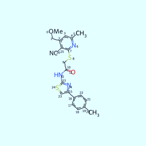 COCc1cc(C)nc(SCC(=O)Nc2nc(-c3ccc(C)cc3)cs2)c1C#N